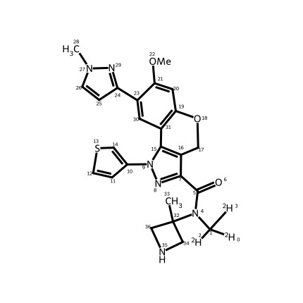 [2H]C([2H])([2H])N(C(=O)c1nn(-c2ccsc2)c2c1COc1cc(OC)c(-c3ccn(C)n3)cc1-2)C1(C)CNC1